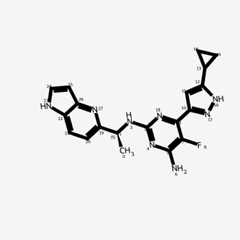 C[C@H](Nc1nc(N)c(F)c(-c2cc(C3CC3)[nH]n2)n1)c1ccc2[nH]ccc2n1